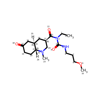 CCN(C(=O)NCCCOC)C(=O)[C@@H]1C[C@@H]2CC(=O)CC[C@H]2N(C)C1